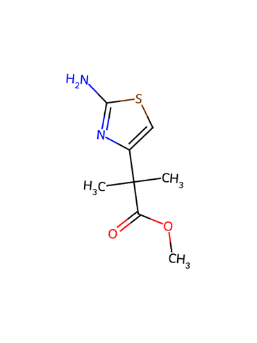 COC(=O)C(C)(C)c1csc(N)n1